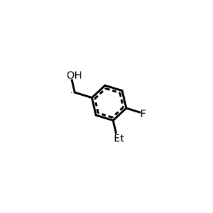 CCc1cc([CH]O)ccc1F